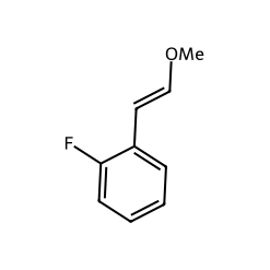 COC=Cc1ccccc1F